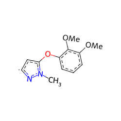 COc1cccc(Oc2c[c]nn2C)c1OC